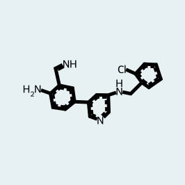 N=Cc1cc(-c2cncc(NCc3ccccc3Cl)c2)ccc1N